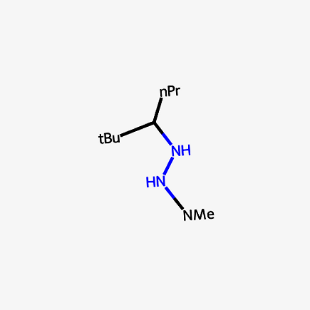 CCCC(NNNC)C(C)(C)C